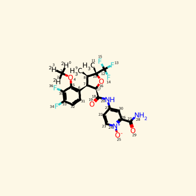 [2H]C([2H])([2H])Oc1c([C@H]2[C@@H](C)[C@](C)(C(F)(F)F)O[C@H]2C(=O)Nc2cc[n+]([O-])c(C(N)=O)c2)ccc(F)c1F